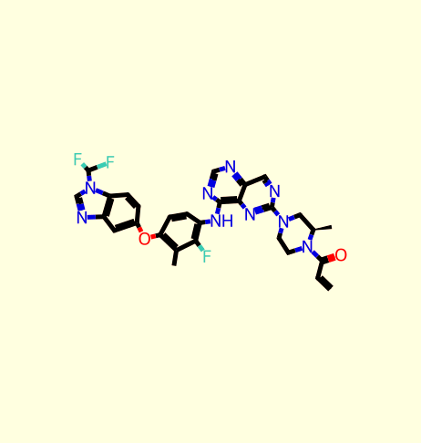 C=CC(=O)N1CCN(c2ncc3ncnc(Nc4ccc(Oc5ccc6c(c5)ncn6C(F)F)c(C)c4F)c3n2)C[C@H]1C